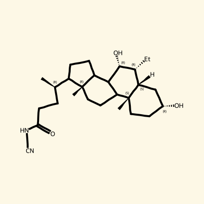 CC[C@H]1[C@@H](O)C2C3CCC([C@H](C)CCC(=O)NC#N)[C@@]3(C)CCC2[C@@]2(C)CC[C@@H](O)C[C@@H]12